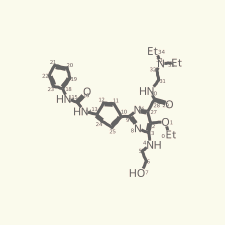 CCOc1c(NCCO)nc(-c2ccc(NC(=O)Nc3ccccc3)cc2)nc1C(=O)NCCN(CC)CC